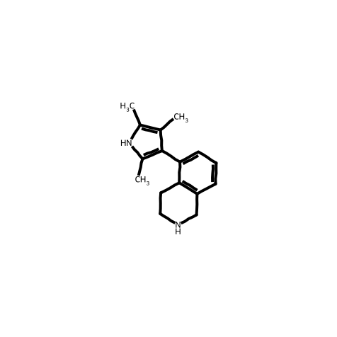 Cc1[nH]c(C)c(-c2cccc3c2CCNC3)c1C